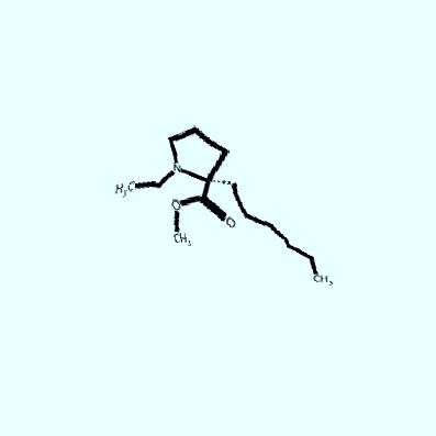 CCCCCC[C@@]1(C(=O)OC)CCCN1CC